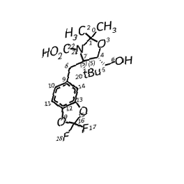 CC1(C)O[C@H](CO)[C@](Cc2ccc3c(c2)OC(F)(F)O3)(C(C)(C)C)N1C(=O)O